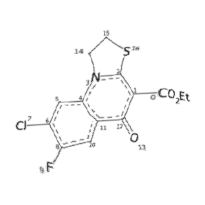 CCOC(=O)c1c2n(c3cc(Cl)c(F)cc3c1=O)CCS2